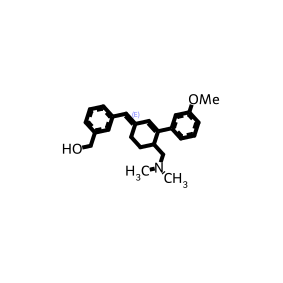 COc1cccc(C2=C/C(=C/c3cccc(CO)c3)CCC2CN(C)C)c1